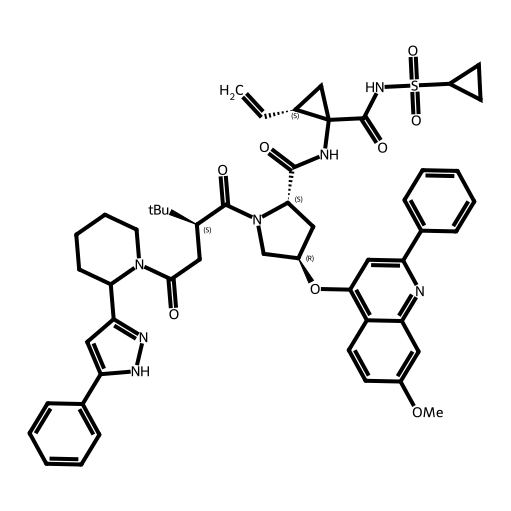 C=C[C@@H]1CC1(NC(=O)[C@@H]1C[C@@H](Oc2cc(-c3ccccc3)nc3cc(OC)ccc23)CN1C(=O)[C@@H](CC(=O)N1CCCCC1c1cc(-c2ccccc2)[nH]n1)C(C)(C)C)C(=O)NS(=O)(=O)C1CC1